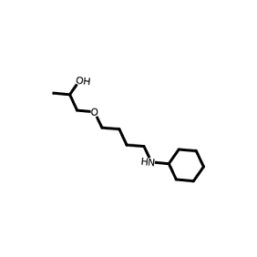 CC(O)COCCCCNC1CCCCC1